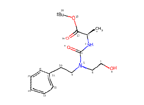 C[C@@H](NC(=O)N(CCO)CCc1ccccc1)C(=O)OC(C)(C)C